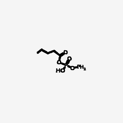 CCCCC(=O)OP(=O)(O)OP